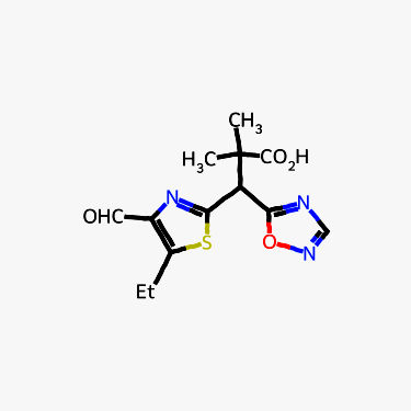 CCc1sc(C(c2ncno2)C(C)(C)C(=O)O)nc1C=O